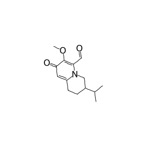 COc1c(C=O)n2c(cc1=O)CCC(C(C)C)C2